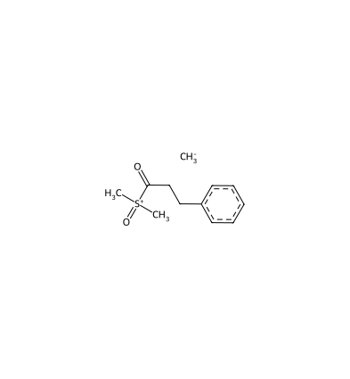 C[S+](C)(=O)C(=O)CCc1ccccc1.[CH3-]